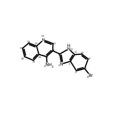 Nc1c(-c2nc3cc(Br)ccc3[nH]2)cnc2ccccc12